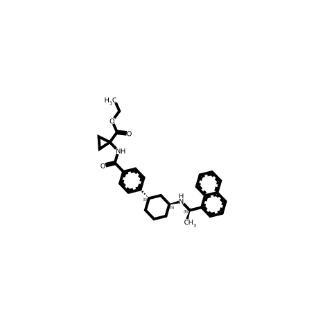 CCOC(=O)C1(NC(=O)c2ccc([C@H]3CCC[C@H](N[C@H](C)c4cccc5ccccc45)C3)cc2)CC1